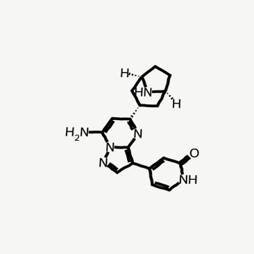 Nc1cc([C@@H]2C[C@H]3CC[C@@H](C2)N3)nc2c(-c3cc[nH]c(=O)c3)cnn12